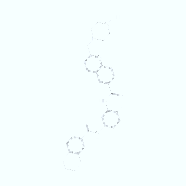 CN1CCN(Cc2ccc3cc(C(=O)Nc4cc(NC(=O)c5ccc6c(c5)OCCO6)ccc4F)ccc3n2)CC1